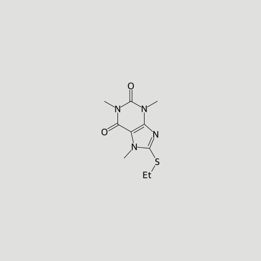 CCSc1nc2c(c(=O)n(C)c(=O)n2C)n1C